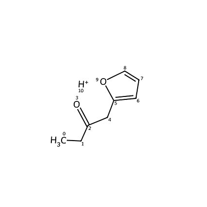 CCC(=O)Cc1ccco1.[H+]